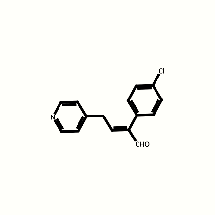 O=CC(=CCc1ccncc1)c1ccc(Cl)cc1